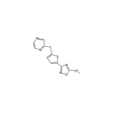 FC(F)(F)c1nc(-c2ccc(Cc3cnccn3)s2)no1